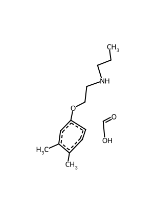 CCCNCCOc1ccc(C)c(C)c1.O=CO